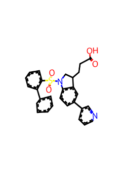 O=C(O)CCC1CN(S(=O)(=O)c2ccccc2-c2ccccc2)c2ccc(-c3cccnc3)cc21